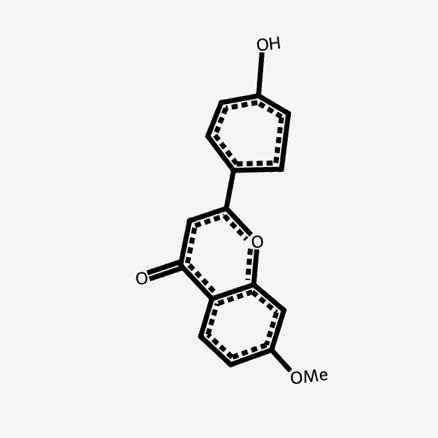 COc1ccc2c(=O)cc(-c3ccc(O)cc3)oc2c1